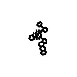 C1=C(c2cccc3c2ccc2cc4ccccc4cc23)NC(c2ccccc2)NC1Nc1ccccc1-c1ccccc1